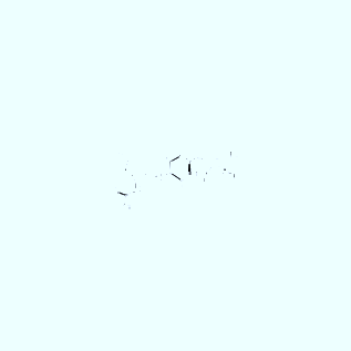 CC[C@H](C)[C@@H](CNc1ccc(O[Si](C)(C)C(C)(C)C)cc1)NC(=O)O